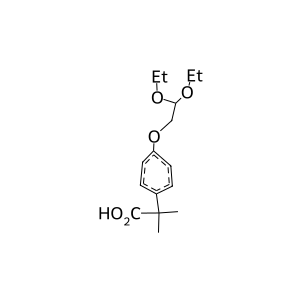 CCOC(COc1ccc(C(C)(C)C(=O)O)cc1)OCC